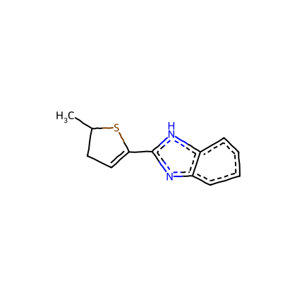 CC1CC=C(c2nc3ccccc3[nH]2)S1